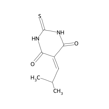 CC(C)C=C1C(=O)NC(=S)NC1=O